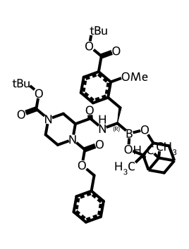 COc1c(C[C@H](NC(=O)C2CN(C(=O)OC(C)(C)C)CCN2C(=O)OCc2ccccc2)B2OC3CC4CC(C4(C)C)C3(C)O2)cccc1C(=O)OC(C)(C)C